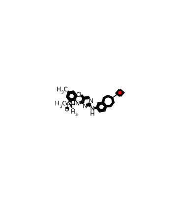 Cc1ccc(Nc2nc(Nc3ccc4c(c3)CC[C@@H](N3CC5CC3C5)CC4)ncc2Cl)c(P(C)(C)=O)c1